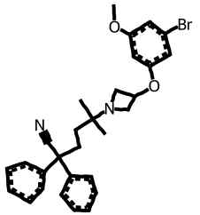 COc1cc(Br)cc(OC2CN(C(C)(C)CCC(C#N)(c3ccccc3)c3ccccc3)C2)c1